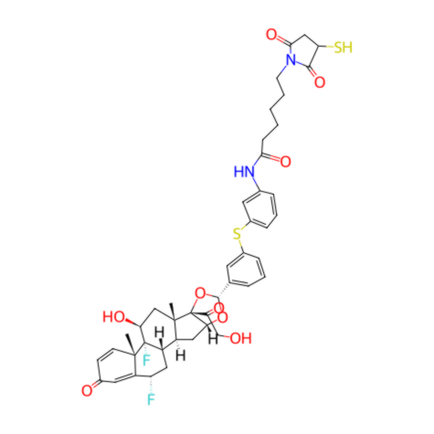 C[C@]12C=CC(=O)C=C1[C@@H](F)C[C@H]1[C@@H]3C[C@H]4O[C@@H](c5cccc(Sc6cccc(NC(=O)CCCCCN7C(=O)CC(S)C7=O)c6)c5)O[C@@]4(C(=O)CO)[C@@]3(C)C[C@H](O)[C@@]12F